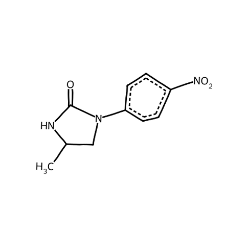 CC1CN(c2ccc([N+](=O)[O-])cc2)C(=O)N1